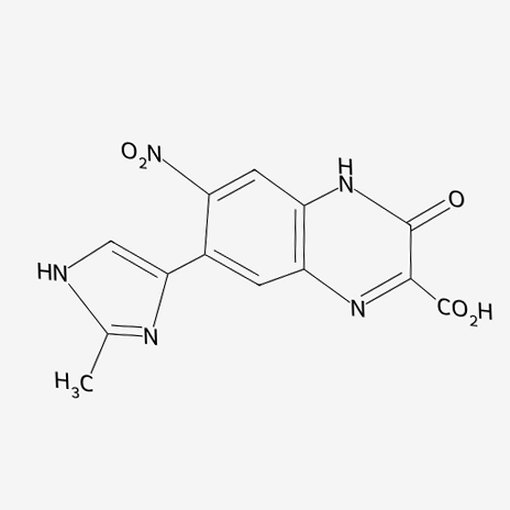 Cc1nc(-c2cc3nc(C(=O)O)c(=O)[nH]c3cc2[N+](=O)[O-])c[nH]1